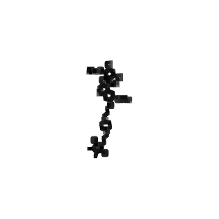 COc1cc(Nc2c(C#N)cnc3cc(OCCCN4CCN(CCCN5C(=O)C(C)=C(C)C5=O)CC4)c(OC)cc23)c(Cl)cc1Cl